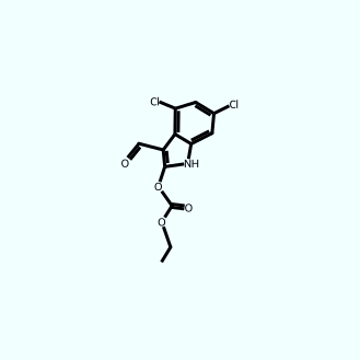 CCOC(=O)Oc1[nH]c2cc(Cl)cc(Cl)c2c1C=O